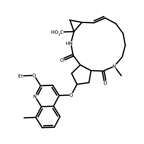 CCOc1cc(OC2CC3C(=O)NC4(C(=O)O)CC4/C=C/CCCCN(C)C(=O)C3C2)c2cccc(C)c2n1